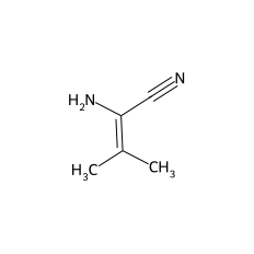 CC(C)=C(N)C#N